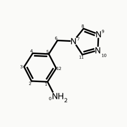 Nc1cccc(Cn2cnnc2)c1